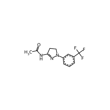 CC(=O)NC1=NN(c2cccc(C(F)(F)F)c2)CC1